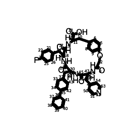 O=C1COc2ccc(cc2)C[C@@H](C(=O)O)NC(=O)[C@H](Cc2ccc(F)cc2)NC(=O)[C@@H](Cc2ccc(-c3ccccc3)cc2)NC(=O)[C@H](Cc2ccncc2)N1